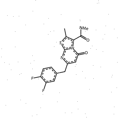 CNC(=O)c1c(C)sc2nc(Cc3ccc(F)c(F)c3)cc(=O)n12